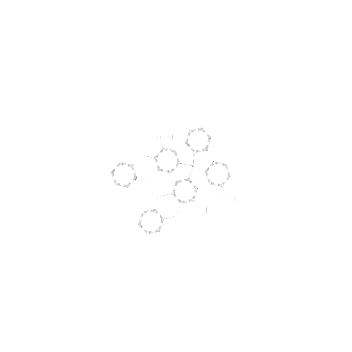 CCCCc1cc(C2(c3cc(CCCC)c(Oc4ccccc4)c(CCCC)c3)c3cc(C)ccc3-c3ccc(C)cc32)cc(CCCC)c1Oc1ccccc1